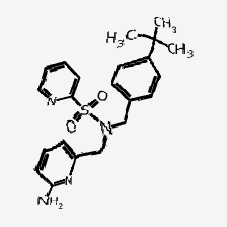 CC(C)(C)c1ccc(CN(Cc2cccc(N)n2)S(=O)(=O)c2ccccn2)cc1